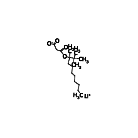 CCCCCCCCC(C)(OC(=O)CC(=O)[O-])C(C)(C)C.[Li+]